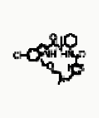 CCOCCN(C)Cc1csc(C(=O)N[C@@H]2CCCC[C@@H]2NC(=O)c2cc3cc(Cl)ccc3[nH]2)n1